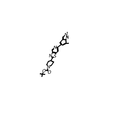 Cc1cc(-c2cc3sc(C4CCN(C(=O)OC(C)(C)C)CC4)nc3cn2)cc2cn(C)nc12